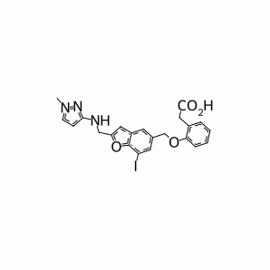 Cn1ccc(NCc2cc3cc(COc4ccccc4CC(=O)O)cc(I)c3o2)n1